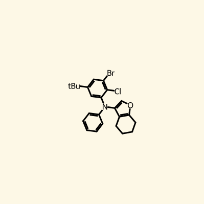 CC(C)(C)c1cc(Br)c(Cl)c(N(c2ccccc2)c2coc3c2CCCC3)c1